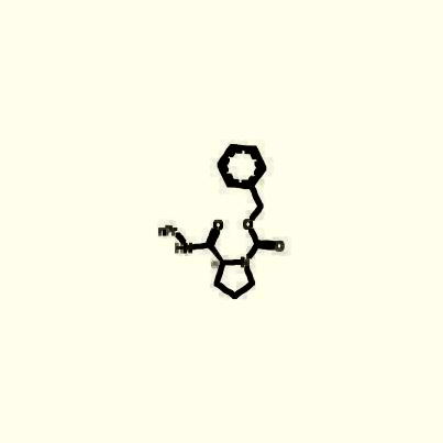 CCCNC(=O)[C@@H]1CCCN1C(=O)OCc1ccccc1